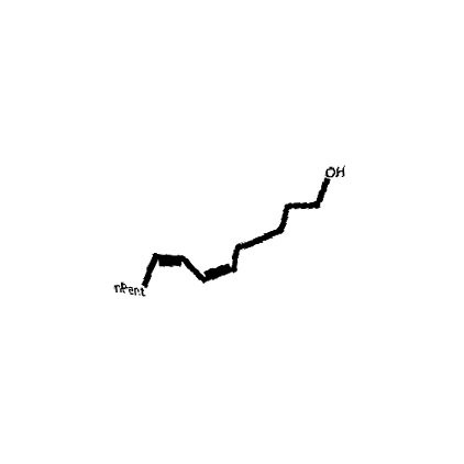 CCCCC/C=C\C=C/CCCCO